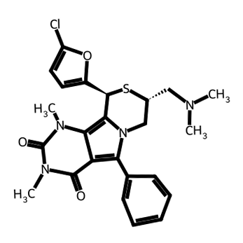 CN(C)C[C@@H]1Cn2c(-c3ccccc3)c3c(=O)n(C)c(=O)n(C)c3c2[C@@H](c2ccc(Cl)o2)S1